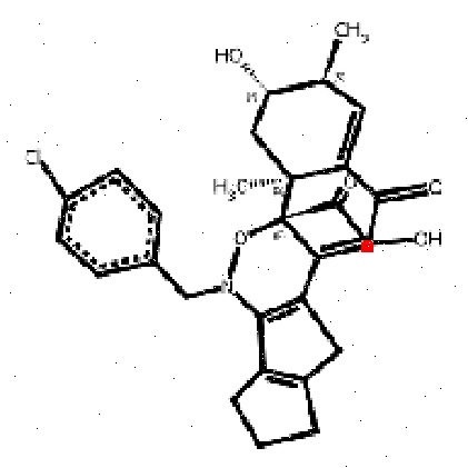 C[C@H]1C=C2C(=O)C=C3C4=C(C5=C(CCC5)C4)N(Cc4ccc(Cl)cc4)O[C@]3(C(=O)CO)[C@@]2(C)C[C@@H]1O